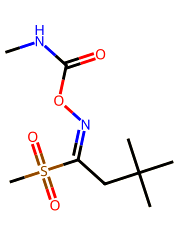 CNC(=O)ON=C(CC(C)(C)C)S(C)(=O)=O